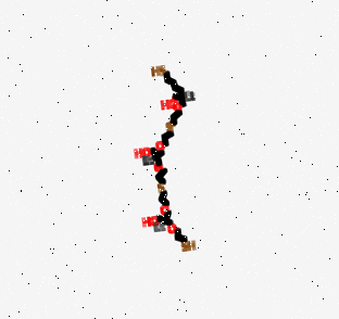 CCC(CO)(CCCCCS)COCCCSCCCOCC(CC)(CO)COCCCSCCCOCC(CC)(CO)COCCCS